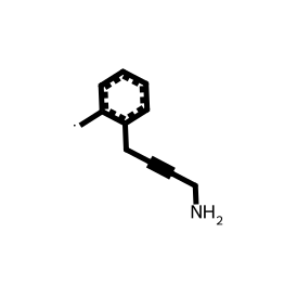 [CH2]c1ccccc1CC#CCN